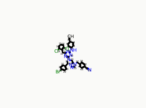 C#Cc1ccc(Nc2nc(Cc3c(Cl)cccc3Cl)nc(N(CCc3ccc(Br)cc3)Cc3nncn3Cc3ccc(C#N)cc3)n2)cc1